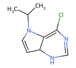 CC(C)N1C=CC2NC=NC(Cl)=C21